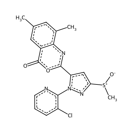 Cc1cc(C)c2nc(-c3cc([S+](C)[O-])nn3-c3ncccc3Cl)oc(=O)c2c1